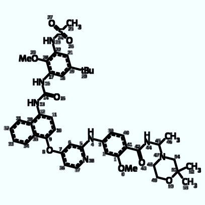 COc1cc(Nc2cc(Oc3ccc(NC(=O)Nc4cc(C(C)(C)C)cc(NS(C)(=O)=O)c4OC)c4ccccc34)ccn2)ccc1C(=O)NC(C)N1CCOC(C)(C)C1